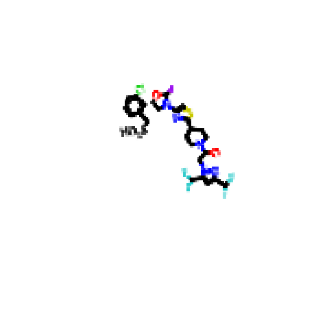 O=C(Cn1nc(C(F)F)cc1C(F)F)N1CCC(c2nc(N3C[C@H](c4c(Cl)cccc4CS(=O)(=O)O)OC3I)cs2)CC1